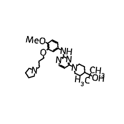 COc1ccc(Nc2nccc(N3CCC(C(C)(C)O)CC3)n2)cc1OCCCN1CCCC1